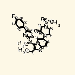 CCc1nc2ccc(N3CCN([S+](C)[O-])CC3=O)cn2c1N(C)c1nc(-c2ccc(F)cc2)cs1